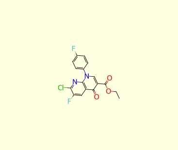 CCOC(=O)c1cn(-c2ccc(F)cc2)c2nc(Cl)c(F)cc2c1=O